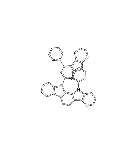 c1ccc(-c2nc(-n3c4ccccc4c4ccc5c6ccccc6n(-c6ccccc6)c5c43)nc3sc4ccccc4c23)cc1